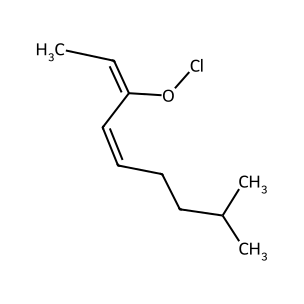 C/C=C(\C=C/CCC(C)C)OCl